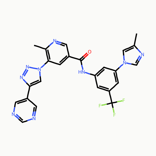 Cc1cn(-c2cc(NC(=O)c3cnc(C)c(-n4cc(-c5cncnc5)nn4)c3)cc(C(F)(F)F)c2)cn1